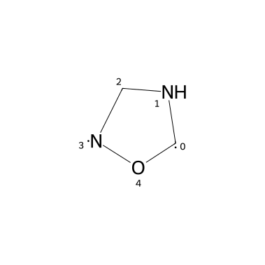 [CH]1NC[N]O1